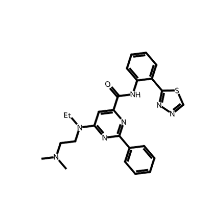 CCN(CCN(C)C)c1cc(C(=O)Nc2ccccc2-c2nncs2)nc(-c2ccccc2)n1